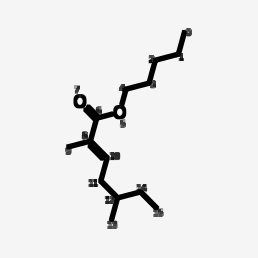 CCCCCOC(=O)C(C)=CCC(C)CC